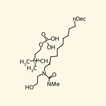 CCCCCCCCCCCCCCCCCCCCN(CCO)C(=O)NC.C[N+](C)(C)CCOP(=O)(O)O